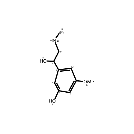 COc1cc(O)cc(C(O)CNC(C)C)c1